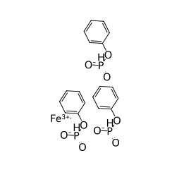 O=[PH]([O-])Oc1ccccc1.O=[PH]([O-])Oc1ccccc1.O=[PH]([O-])Oc1ccccc1.[Fe+3]